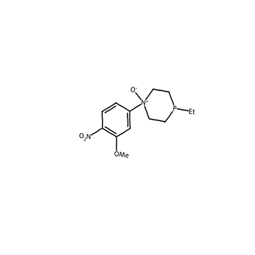 CCP1CC[N+]([O-])(c2ccc([N+](=O)[O-])c(OC)c2)CC1